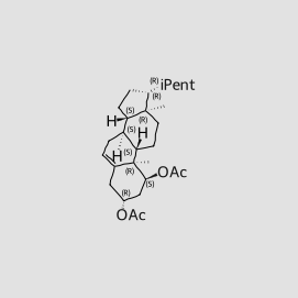 [CH2]CC[C@@H](C)[C@H]1CC[C@H]2[C@@H]3CC=C4C[C@@H](OC(C)=O)C[C@H](OC(C)=O)[C@]4(C)[C@H]3CC[C@]12C